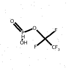 O=[PH](O)OC(F)(F)C(F)(F)F